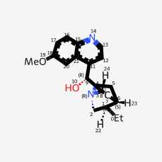 CC[C@H]1C[N@]2CC[C@H]1C[C@H]2[C@H](O)c1ccnc2ccc(OC)cc12